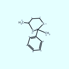 CC1CCSC(C)(c2ccccc2)O1